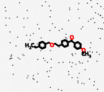 C=Cc1ccc(COCCc2ccc(C(=O)c3ccc(OC)cc3)cc2)cc1